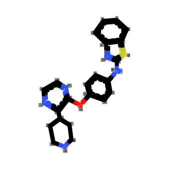 c1ccc2sc(Nc3ccc(Oc4nccnc4C4CC[N]CC4)cc3)nc2c1